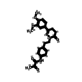 COc1ccc(C2=NN(CCc3ccc(NC(=O)C(C)=O)cc3)C(=O)CC2)cc1OC